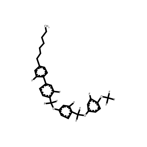 CCCCCCCc1ccc(-c2ccc(C(F)(F)Oc3ccc(C(F)(F)Oc4ccc(OC(F)(F)F)c(F)c4)c(F)c3)c(F)c2)c(F)c1